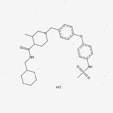 CC1CN(Cc2ccc(Oc3ccc(NS(C)(=O)=O)cc3)cc2)CCC1C(=O)NCC1CCCCC1.Cl